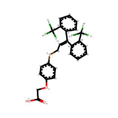 O=C(O)COc1ccc(SCC=C(c2ccccc2C(F)(F)F)c2ccccc2C(F)(F)F)cc1